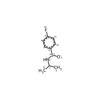 CC(C)N[S+]([O-])c1ccc(F)cc1